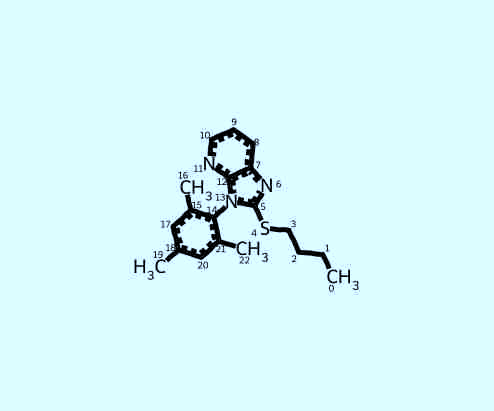 CCCCSc1nc2cccnc2n1-c1c(C)cc(C)cc1C